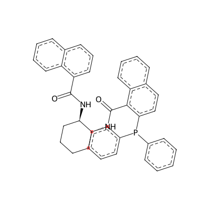 O=C(N[C@@H]1CCCC[C@H]1NC(=O)c1c(P(c2ccccc2)c2ccccc2)ccc2ccccc12)c1cccc2ccccc12